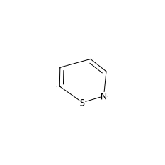 [C]1=C[C]=C[N]S1